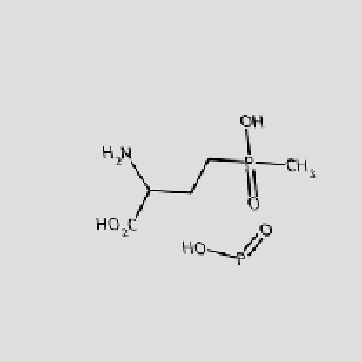 CP(=O)(O)CCC(N)C(=O)O.O=PO